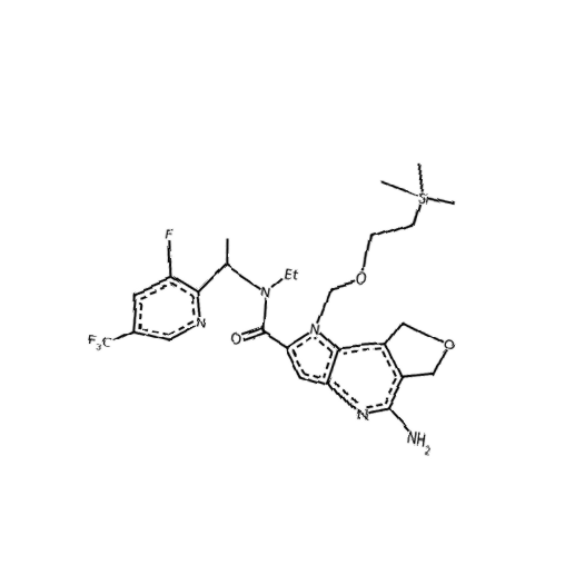 CCN(C(=O)c1cc2nc(N)c3c(c2n1COCC[Si](C)(C)C)COC3)C(C)c1ncc(C(F)(F)F)cc1F